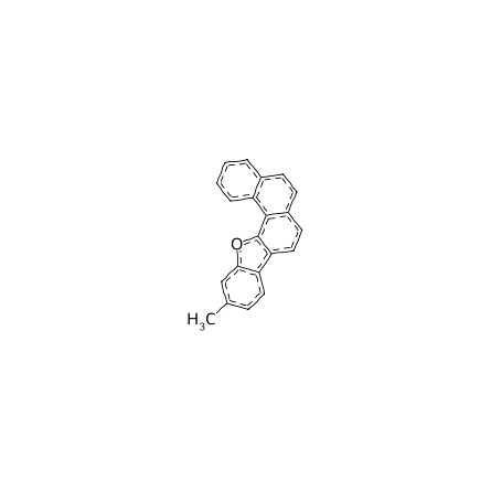 Cc1ccc2c(c1)oc1c2ccc2ccc3ccccc3c21